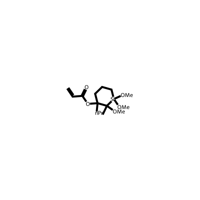 C=CC(=O)OC1(CCC)CCC[Si](OC)(OC)C1(C)OC